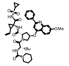 C=CC1C[C@]1(NC(=O)[C@@H]1C[C@@H](Oc2cc(-c3ccccc3)nc3cc(OC)ccc23)CN1C(=O)[C@@H](NC(=O)N1CCCCC1)C(C)(C)C)C(=O)NS(=O)(=O)C1CC1